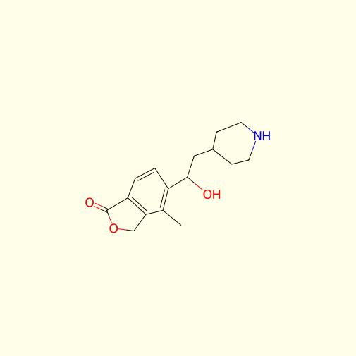 Cc1c(C(O)CC2CCNCC2)ccc2c1COC2=O